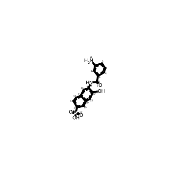 Nc1cccc(C(=O)Nc2cc3ccc(S(=O)(=O)O)cc3cc2O)c1